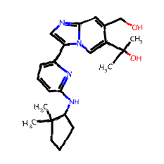 CC(C)(O)c1cn2c(-c3cccc(NC4CCCC4(C)C)n3)cnc2cc1CO